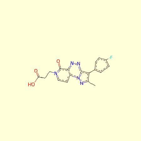 Cc1nn2c(nnc3c(=O)n(CCC(=O)O)ccc32)c1-c1ccc(F)cc1